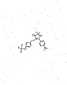 CN(C)c1ccc(C2N(CCc3ccc(OC(F)(F)F)cc3)C(=O)C(C)(C)N2C)cc1